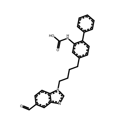 O=Cc1ccc2c(c1)ncn2CCCCc1ccc(-c2ccccc2)c(NC(=O)O)c1